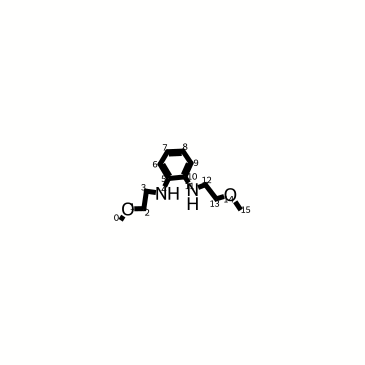 COCCNc1ccccc1NCCOC